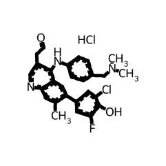 Cc1cc2ncc(CC=O)c(Nc3ccc(CN(C)C)cc3)c2cc1-c1cc(F)c(O)c(Cl)c1.Cl